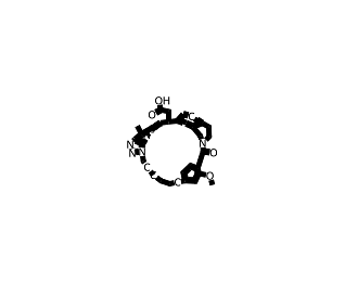 COc1cc2ccc1C(=O)N1CCc3ccc(cc3C1)C(CC(=O)O)c1cnc3c(nnn3CCCCCC2)c1C